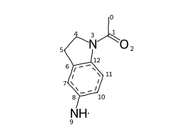 CC(=O)N1CCc2cc([NH])ccc21